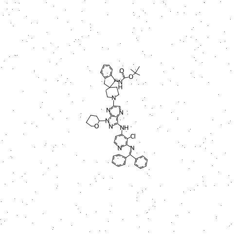 CC(C)(C)OC(=O)N[C@@H]1c2ccccc2CC12CCN(c1cnc3c(Nc4ccnc(N=C(c5ccccc5)c5ccccc5)c4Cl)nn(C4CCCCO4)c3n1)CC2